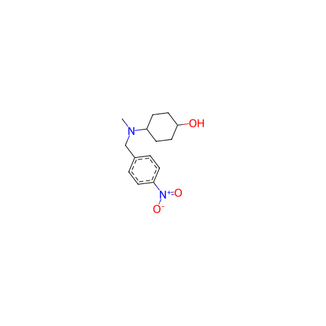 CN(Cc1ccc([N+](=O)[O-])cc1)C1CCC(O)CC1